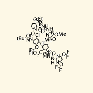 CC(C)Oc1cc(-n2nc(C(C)(C)C)oc2=O)c(Cl)cc1Cl.CCS(=O)(=O)c1cccnc1S(=O)(=O)NC(=O)Nc1nc(OC)cc(OC)n1.O=C(Nc1nc(OC(F)F)cc(OC(F)F)n1)NS(=O)(=O)c1ccccc1C(=O)O